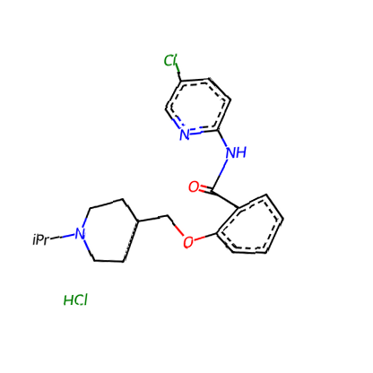 CC(C)N1CCC(COc2ccccc2C(=O)Nc2ccc(Cl)cn2)CC1.Cl